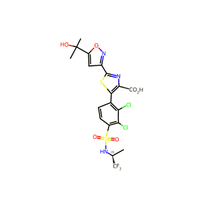 C[C@H](NS(=O)(=O)c1ccc(-c2sc(-c3cc(C(C)(C)O)on3)nc2C(=O)O)c(Cl)c1Cl)C(F)(F)F